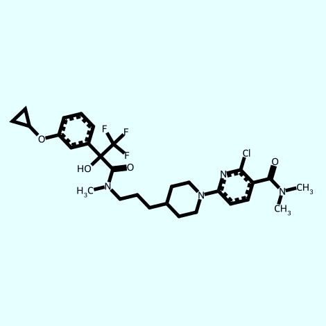 CN(C)C(=O)c1ccc(N2CCC(CCCN(C)C(=O)C(O)(c3cccc(OC4CC4)c3)C(F)(F)F)CC2)nc1Cl